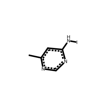 Cc1cc(NI)ncn1